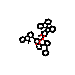 CC1(C)c2ccccc2-c2cccc(-c3cccc(N(c4ccc5c(c4)-c4ccccc4C54c5ccccc5-c5ccccc54)c4cccc(-c5ccccc5)c4-c4ccccc4-c4ccccc4)c3)c21